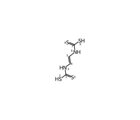 S=C(S)N[C]=CNC(=S)S